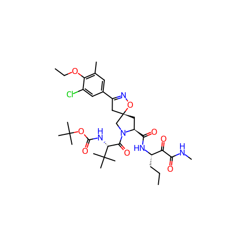 CCC[C@H](NC(=O)[C@@H]1C[C@]2(CC(c3cc(C)c(OCC)c(Cl)c3)=NO2)CN1C(=O)[C@@H](NC(=O)OC(C)(C)C)C(C)(C)C)C(=O)C(=O)NC